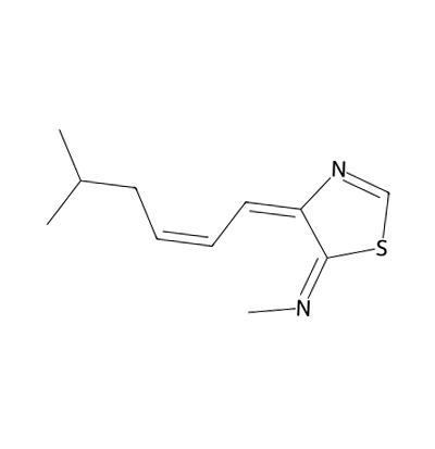 C/N=C1/SC=N/C1=C/C=C\CC(C)C